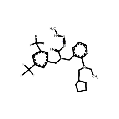 CCN(CC1CCCC1)c1ncccc1CN(Cc1cc(C(F)(F)F)cc(C(F)(F)F)c1)C(=N)/N=N\NC